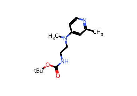 Cc1cc(N(C)CCNC(=O)OC(C)(C)C)ccn1